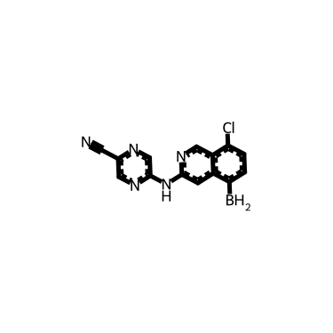 Bc1ccc(Cl)c2cnc(Nc3cnc(C#N)cn3)cc12